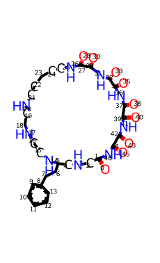 O=C1CNCC(CCc2ccccc2)NCCNCCNCCCCCNC(=O)C(=O)NC(=O)C(=O)NC(=O)C(=O)NC(=O)C(=O)N1